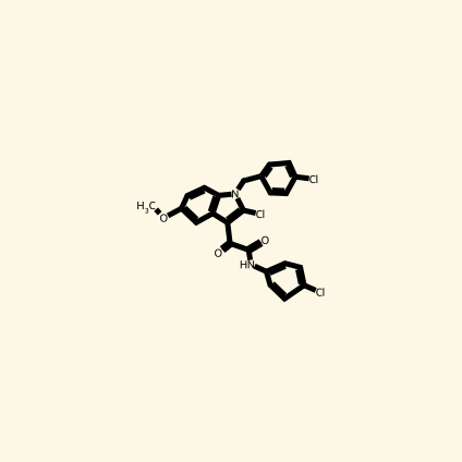 COc1ccc2c(c1)c(C(=O)C(=O)Nc1ccc(Cl)cc1)c(Cl)n2Cc1ccc(Cl)cc1